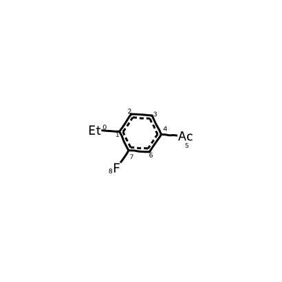 CCc1ccc(C(C)=O)cc1F